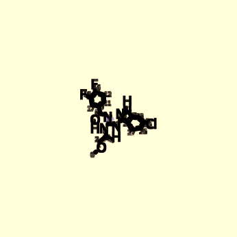 COC[C@H](C)N/C(=N\C(=O)c1ccc(F)c(F)c1)Nc1n[nH]c2cc(Cl)ccc12